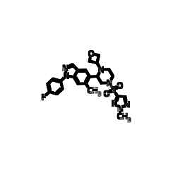 Cc1cc2c(cnn2-c2ccc(F)cc2)cc1C1CN(S(=O)(=O)c2cnn(C)n2)CCN1C1COC1